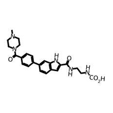 CN1CCN(C(=O)c2ccc(-c3ccc4cc(C(=O)NCCNC(=O)O)[nH]c4c3)cc2)CC1